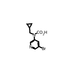 O=C(O)N(CC1CC1)c1cncc(Br)c1